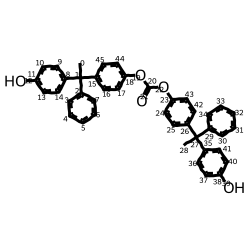 CC(c1ccccc1)(c1ccc(O)cc1)c1ccc(OC(=O)Oc2ccc(C(C)(c3ccccc3)c3ccc(O)cc3)cc2)cc1